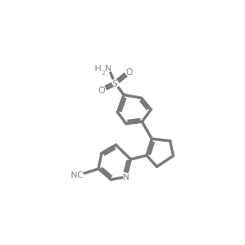 N#Cc1ccc(C2=C(c3ccc(S(N)(=O)=O)cc3)CCC2)nc1